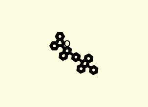 c1ccc(-c2c3ccccc3c(-c3ccc(-c4cc5oc6c7ccccc7c7ccccc7c6c5c5ccccc45)cc3)c3ccccc23)cc1